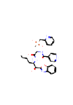 CCCCC(NC(=O)[C@H](CS(=O)(=O)Cc1ccccn1)NC(=O)c1ccncc1)C(=O)c1nc2ccccc2o1